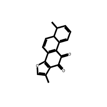 Cc1coc2c1C(=O)C(=O)C1=C2C=CC2C1=CC=CC2C